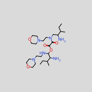 CCC(C)C(N)CN(CCN1CCOCC1)C(=O)C(=O)OC(NCCN1CCOCC1)C(N)C(C)CC